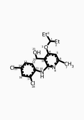 CCC(CC)Oc1cc(C)nc(Nc2ccc(Cl)cc2Cl)c1CO